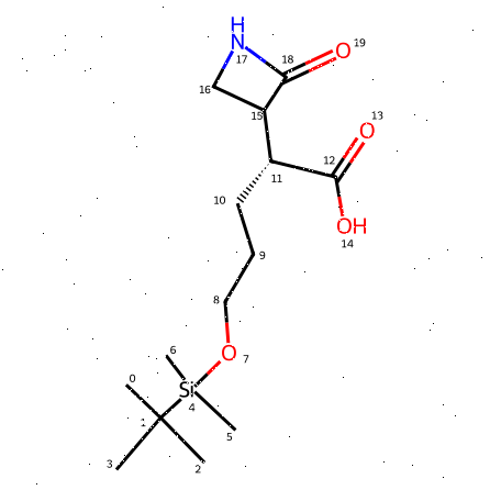 CC(C)(C)[Si](C)(C)OCCC[C@@H](C(=O)O)C1CNC1=O